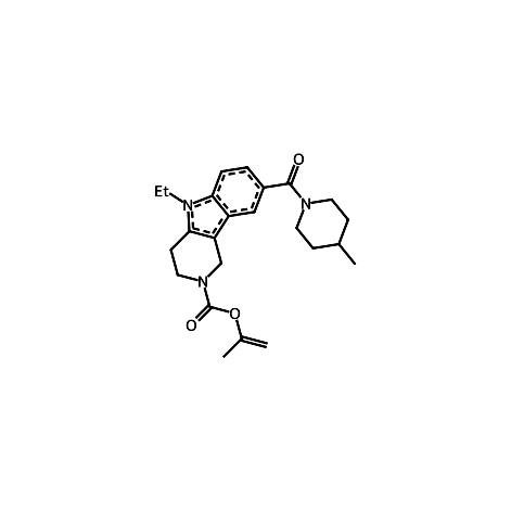 C=C(C)OC(=O)N1CCc2c(c3cc(C(=O)N4CCC(C)CC4)ccc3n2CC)C1